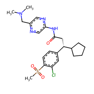 CN(C)Cc1cnc(NC(=O)C[C@@H](c2ccc(S(C)(=O)=O)c(Cl)c2)C2CCCC2)cn1